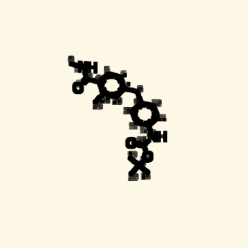 CNC(=O)c1ccc(Cc2ccc(NC(=O)OC(C)(C)C)cc2)cc1C